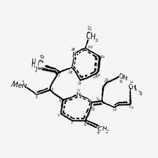 C=C(/C(=C\NC)c1ccc(=C)/c(=C(\C=C/C)CO)n1)c1cccc(C)n1